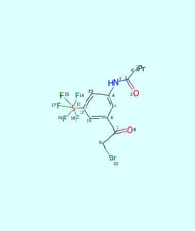 CC(C)C(=O)Nc1cc(C(=O)CBr)cc(S(F)(F)(F)(F)F)c1